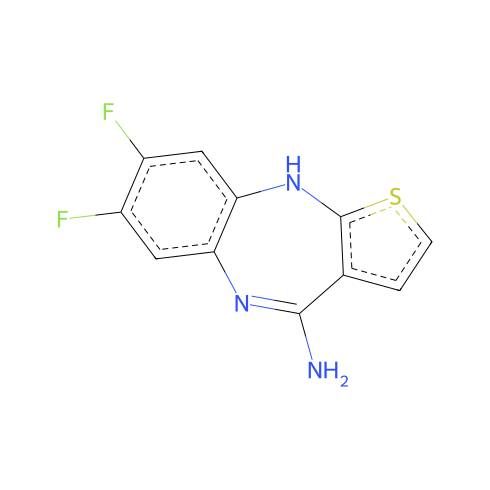 NC1=Nc2cc(F)c(F)cc2Nc2sccc21